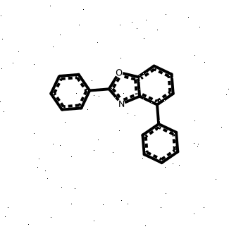 c1ccc(-c2nc3c(-c4ccccc4)cccc3o2)cc1